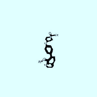 CCC(=O)N1CCC(Oc2ccc(-c3ccc4c(c3OC(C)C)=NCCC=4)cc2)CC1